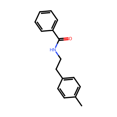 Cc1ccc(CCNC(=O)c2ccccc2)cc1